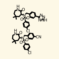 CC1(C)CCNC(=O)C(N(Cc2ccc(-c3nn[nH]n3)cc2)S(=O)(=O)c2ccc(Cl)cc2)C1.CC1(C)CCNC(=O)C(N(Cc2ccc(C#N)cc2)S(=O)(=O)c2ccc(Cl)cc2)C1